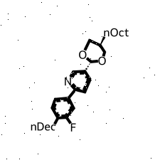 CCCCCCCCCCc1ccc(-c2ccc([C@H]3OC[C@H](CCCCCCCC)CO3)cn2)cc1F